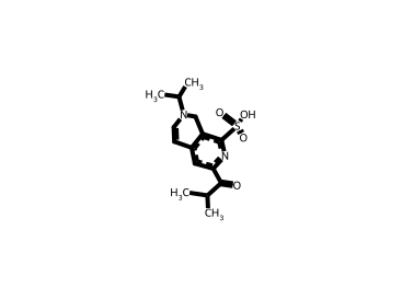 CC(C)C(=O)c1cc2c(c(S(=O)(=O)O)n1)CN(C(C)C)C=C2